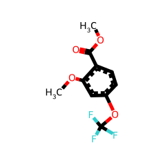 COC(=O)c1ccc(OC(F)(F)F)cc1OC